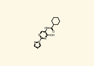 O=C(Nc1cnc(-n2cccn2)nc1O)C1CCCCC1